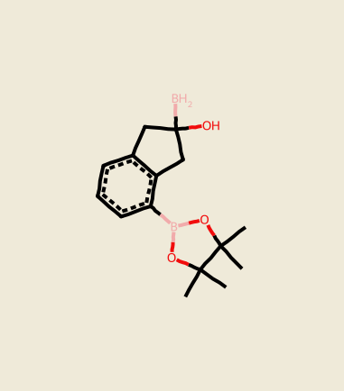 BC1(O)Cc2cccc(B3OC(C)(C)C(C)(C)O3)c2C1